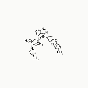 Cc1ccc(Oc2ccc(Nc3ncnc4cccc(O[C@H](C)CN(C)C(=O)CN5CCN(C)CC5)c34)cc2C)cn1